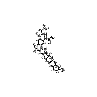 C=CC(=O)Nc1cc(NC(/C=C(\N=C)OC2Cc3cc4ccc(=O)oc4cc3OC2(C)C)=N/C)c(OC)cc1N(C)CCN(C)C